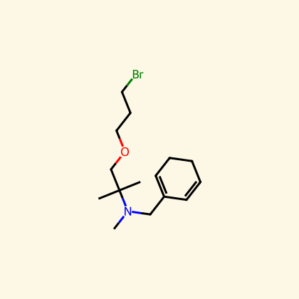 CN(CC1=CCCC=C1)C(C)(C)COCCCBr